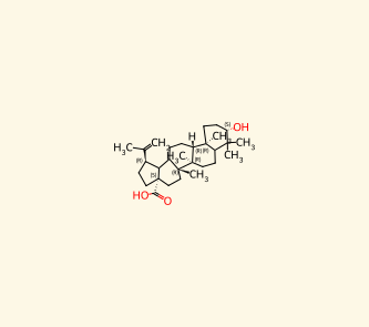 C=C(C)[C@@H]1CC[C@]2(C(=O)O)CC[C@]3(C)C(CC[C@@H]4[C@@]5(C)CC[C@H](O)C(C)(C)C5CC[C@]43C)C12